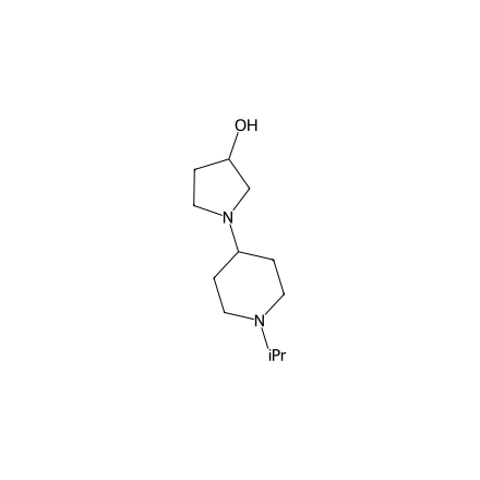 CC(C)N1CCC(N2CCC(O)C2)CC1